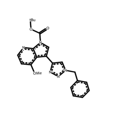 COc1ccnc2c1c(-c1cn(Cc3ccccc3)nn1)cn2C(=O)OC(C)(C)C